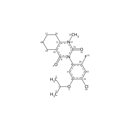 CC(C)Oc1cc(-n2c(=O)c3c(n(C)c2=O)CCCC3)c(F)cc1Cl